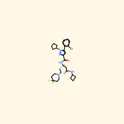 CCc1ccccc1-c1cc(C(=O)N[C@@H](CCN2CCC(F)(F)CC2)CC(=O)NC2CCC2)nn1C1CCCC1